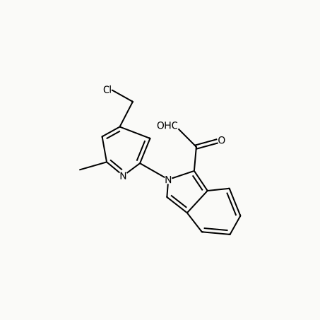 Cc1cc(CCl)cc(-n2cc3ccccc3c2C(=O)C=O)n1